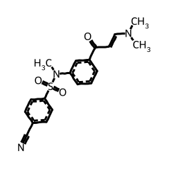 CN(C)C=CC(=O)c1cccc(N(C)S(=O)(=O)c2ccc(C#N)cc2)c1